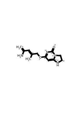 C=C(N)/C=C(\C)COc1cc2n(c(=O)n1)CCN2